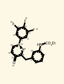 CCOC(=O)Nc1cccc(Cc2nn(-c3cc(F)c(F)c(F)c3)ccc2=O)c1